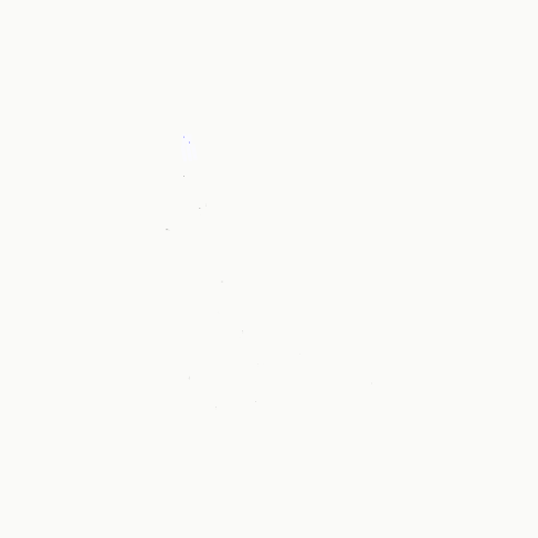 CC/C=C1\CCCC2=C1C2c1ccc(C#N)cc1